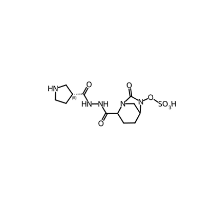 O=C(NNC(=O)[C@@H]1CCNC1)C1CCC2CN1C(=O)N2OS(=O)(=O)O